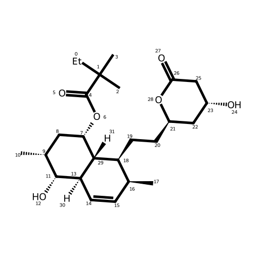 CCC(C)(C)C(=O)O[C@H]1C[C@@H](C)[C@@H](O)[C@@H]2C=C[C@H](C)[C@H](CC[C@@H]3C[C@@H](O)CC(=O)O3)[C@H]21